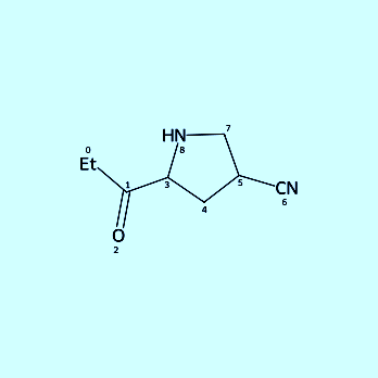 CCC(=O)C1CC(C#N)CN1